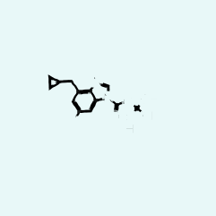 CC(C)(C)OC(=O)n1cnc2c(CC3CC3)cc(F)cc21